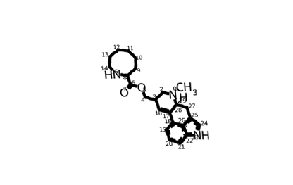 CN1CC(COC(=O)C2CCCCCCN2)C=C2c3cccc4[nH]cc(c34)C[C@@H]21